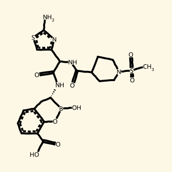 CS(=O)(=O)N1CCC(C(=O)NC(C(=O)N[C@H]2Cc3cccc(C(=O)O)c3OB2O)c2csc(N)n2)CC1